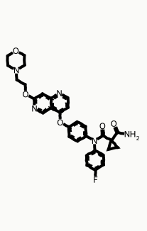 NC(=O)C1(C(=O)N(c2ccc(F)cc2)c2ccc(Oc3ccnc4cc(OCCN5CCOCC5)ncc34)cc2)CC1